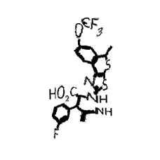 CC(=N)/C(=C(\Nc1nc2c(s1)SC(C)c1cc(OC(F)(F)F)ccc1-2)C(=O)O)c1cccc(F)c1